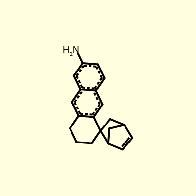 Nc1ccc2cc3c(cc2c1)CCCC31CC2C=CC1C2